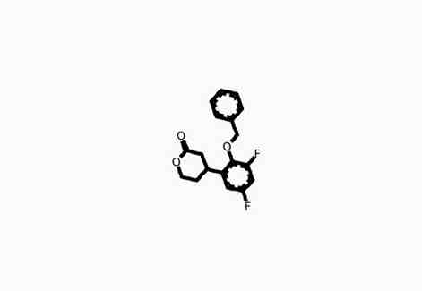 O=C1CC(c2cc(F)cc(F)c2OCc2ccccc2)CCO1